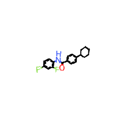 O=C(Nc1ccc(F)cc1F)c1ccc(C2CCCCC2)cc1